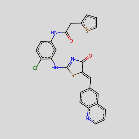 O=C(Cc1cccs1)Nc1ccc(Cl)c(NC2=NC(=O)/C(=C/c3ccc4ncccc4c3)S2)c1